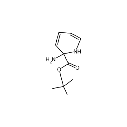 CC(C)(C)OC(=O)C1(N)C=CC=CN1